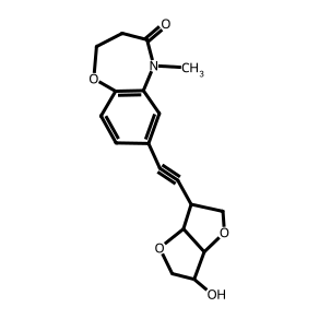 CN1C(=O)CCOc2ccc(C#CC3COC4C(O)COC34)cc21